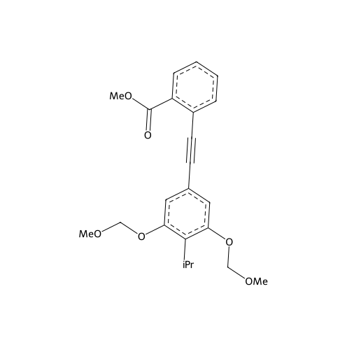 COCOc1cc(C#Cc2ccccc2C(=O)OC)cc(OCOC)c1C(C)C